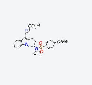 COc1ccc(S(=O)(=O)N(C)C2CCc3c(/C=C/C(=O)O)c4ccccc4n3C2)cc1